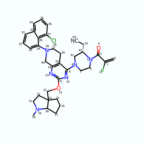 C=C(F)C(=O)N1CCN(c2nc(OCC34CCCC3N(C)CC4)nc3c2CCN(c2cccc4cccc(Cl)c24)C3)C[C@@H]1CC#N